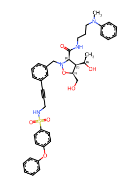 C[C@@H](O)[C@H]1[C@@H](CO)ON(Cc2cccc(C#CCNS(=O)(=O)c3ccc(Oc4ccccc4)cc3)c2)[C@H]1C(=O)NCCCN(C)c1ccccc1